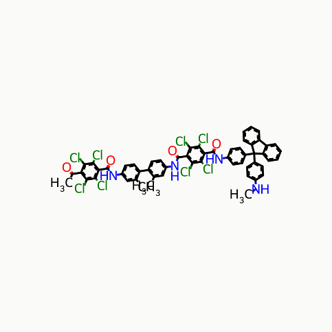 CNc1ccc(C2(c3ccc(NC(=O)c4c(Cl)c(Cl)c(C(=O)Nc5ccc(-c6ccc(NC(=O)c7c(Cl)c(Cl)c(C(C)=O)c(Cl)c7Cl)cc6C)c(C)c5)c(Cl)c4Cl)cc3)c3ccccc3-c3ccccc32)cc1